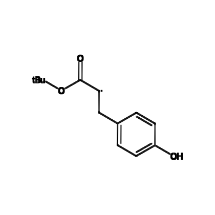 CC(C)(C)OC(=O)[CH]Cc1ccc(O)cc1